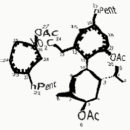 C=C(C)[C@@H]1CC(OC(C)=O)C(C)=C[C@H]1c1c(CC(=O)O)cc(CCCCC)cc1OC(C)=O.CCCCCc1cccc(OC(C)=O)c1